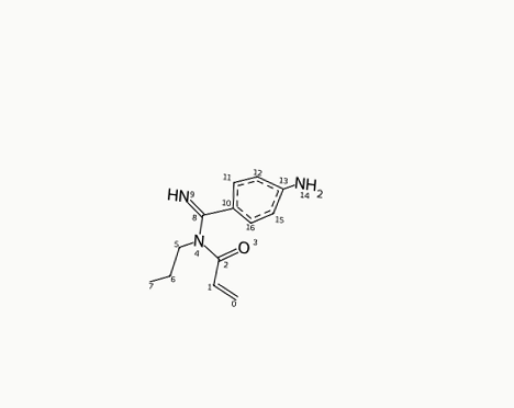 C=CC(=O)N(CCC)C(=N)c1ccc(N)cc1